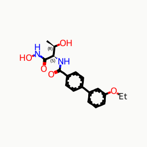 CCOc1cccc(-c2ccc(C(=O)N[C@H](C(=O)NO)[C@@H](C)O)cc2)c1